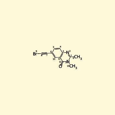 Cc1nc2ccc(C#CBr)cc2c(=O)n1C